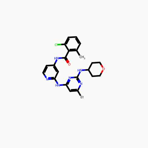 CCc1cc(Nc2cc(NC(=O)c3c(C)cccc3Cl)ccn2)nc(NC2CCOCC2)n1